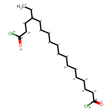 CCC(CCCCCCCCCCCCCC(=O)Cl)CCC(=O)Cl